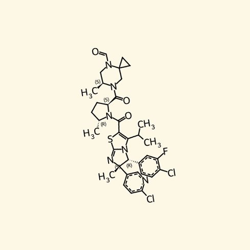 CC(C)C1=C(C(=O)N2[C@H](C)CC[C@H]2C(=O)N2CC3(CC3)N(C=O)C[C@@H]2C)SC2=N[C@@](C)(c3ccc(Cl)nc3)[C@@H](c3ccc(Cl)c(F)c3)N21